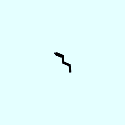 [CH]=CCCC